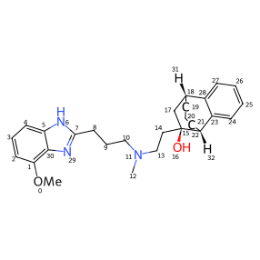 COc1cccc2[nH]c(CCCN(C)CC[C@]3(O)C[C@H]4CCC[C@@H]3c3ccccc34)nc12